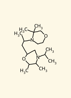 CC1OC(CC(C)N2CCOCC2(C)C)CN(C(C)C)C1C